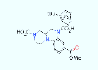 CC(C)(C)c1ccc2cc1C2.COC(=O)c1ccc2c(c1)N(C(=O)O)CC1CN(C(=O)O)CCN21